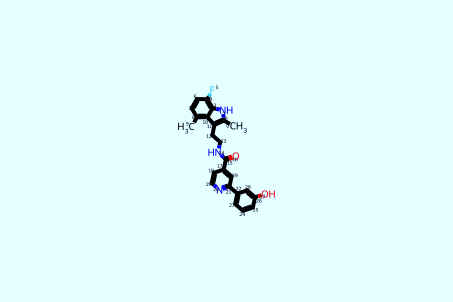 Cc1[nH]c2c(F)ccc(C)c2c1CCNC(=O)c1ccnc(-c2cccc(O)c2)c1